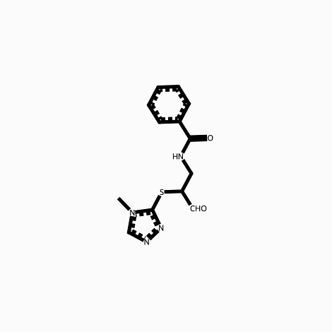 Cn1cnnc1SC(C=O)CNC(=O)c1ccccc1